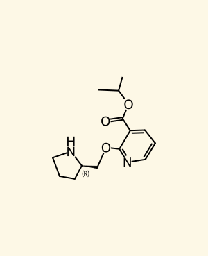 CC(C)OC(=O)c1cccnc1OC[C@H]1CCCN1